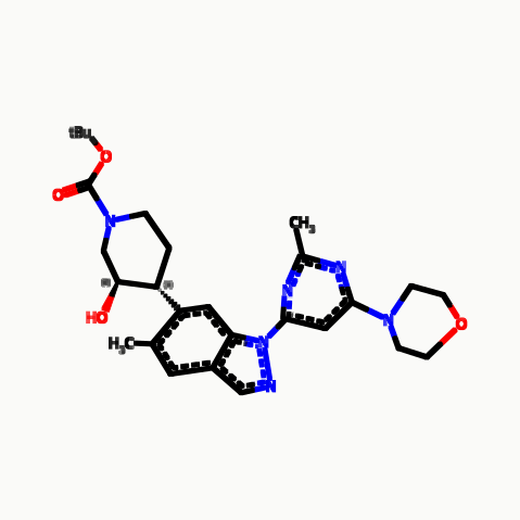 Cc1nc(N2CCOCC2)cc(-n2ncc3cc(C)c([C@H]4CCN(C(=O)OC(C)(C)C)C[C@@H]4O)cc32)n1